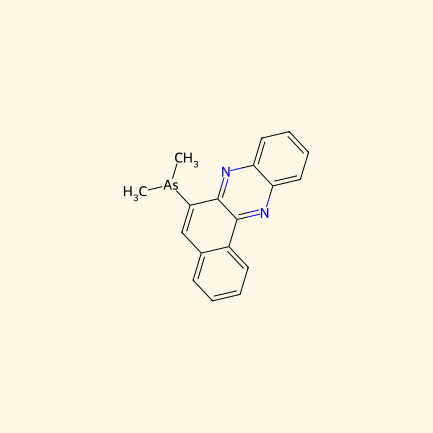 C[As](C)c1cc2ccccc2c2nc3ccccc3nc12